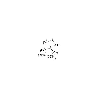 CC(C)CO.CC(C)CO.CC=O